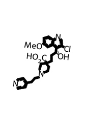 COc1ccc2ncc(Cl)c([C@H](O)CCC3(C(=O)O)CCN(CCCc4ccncc4)CC3)c2c1